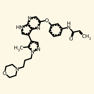 C=CC(=O)Nc1cccc(Oc2cnc3[nH]cc(-c4cnn(CCCN5CCOCC5)c4C)c3n2)c1